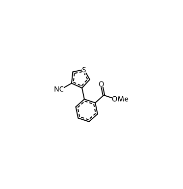 COC(=O)c1ccccc1-c1cscc1C#N